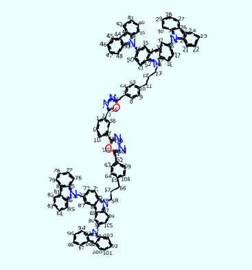 c1cc(-c2nnc(-c3ccc(CCCn4c5ccc(-n6c7ccccc7c7ccccc76)cc5c5cc(-n6c7ccccc7c7ccccc76)ccc54)cc3)o2)cc(-c2nnc(-c3ccc(CCCn4c5ccc(-n6c7ccccc7c7ccccc76)cc5c5cc(-n6c7ccccc7c7ccccc76)ccc54)cc3)o2)c1